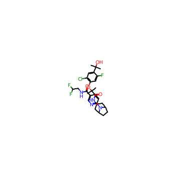 CC(C)(Oc1cc(F)c(C(C)(C)O)cc1Cl)C(=O)NC1CC2CCC(C1)N2c1ccc(C(=O)NCC(F)F)cn1